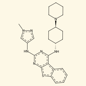 Cn1cc(Nc2nc(N[C@H]3CC[C@H](N4CCCCC4)CC3)c3c(n2)sc2ccccc23)cn1